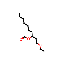 C[CH]OCCC(CCCCCCC)OC=O